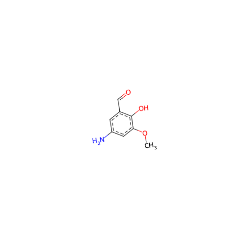 COc1cc(N)cc(C=O)c1O